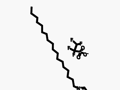 CCCCCCCCCCCCCCCCCC[n+]1ccn(C)c1.O=S(=O)([O-])C(F)(F)C(F)F